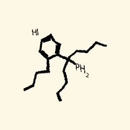 CCCCc1ccccc1C(P)(CCCC)CCCC.I